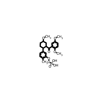 COc1ccc(OC)c(C(=O)C2CC(OC)CCC2c2ccc(C)c(OOP(=O)(O)O)c2)c1